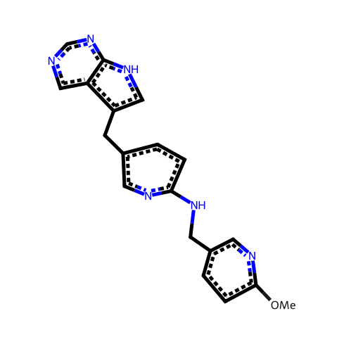 COc1ccc(CNc2ccc(Cc3c[nH]c4ncncc34)cn2)cn1